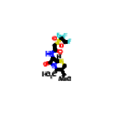 COCC1=C(C(=O)O)N2C(=O)C(NC(=O)CS(=O)(=O)C(F)(F)CF)[C@H]2SC1